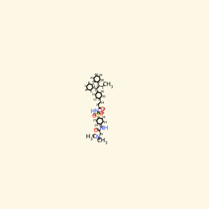 CCC(=C(c1ccccc1)c1ccc(C=CC(=O)NS(=O)(=O)c2ccc(NC(=O)CN(C)C)cc2)cc1)c1ccccc1